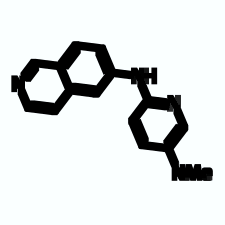 CNc1ccc(Nc2ccc3cnccc3c2)nc1